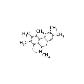 Cc1cc2c(cc1C)-c1c(C)c(C)c(C)c3c1C(C2)N(C)CC3